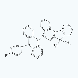 CC1(C)c2ccccc2-c2c1cc(-c1c3ccccc3c(-c3ccc(F)cc3)c3ccccc13)c1ccccc21